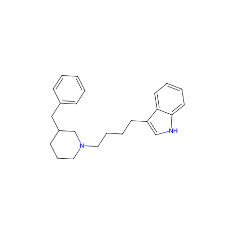 c1ccc(CC2CCCN(CCCCc3c[nH]c4ccccc34)C2)cc1